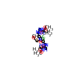 COCCc1ccc(C2Oc3cc(-c4cnc([C@@H]5CCCN5C(=O)[C@@H](NC(=O)OC)C(C)C)[nH]4)cc(F)c3-c3c(F)c4cc(-c5cnc([C@@H]6CCCN6C(=O)[C@@H](NC(=O)OC)C(C)C)[nH]5)ccc4n32)s1